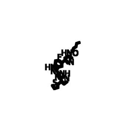 CCCCC(=O)Nc1cncc(-c2cc3c(-c4nc5c(-c6cccs6)ccnc5[nH]4)n[nH]c3cc2F)c1